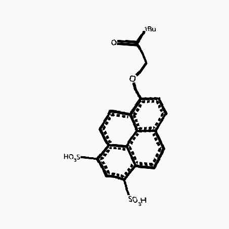 CC(C)(C)C(=O)COc1ccc2ccc3c(S(=O)(=O)O)cc(S(=O)(=O)O)c4ccc1c2c34